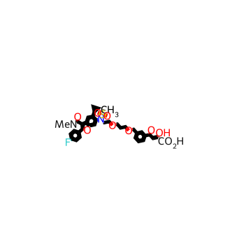 CNC(=O)c1c(-c2ccc(F)cc2)oc2cc(N(CCOCCCOCc3cccc(C(=O)C=C(O)C(=O)O)c3)S(C)(=O)=O)c(C3CC3)cc12